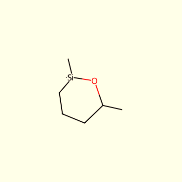 CC1CCC[Si](C)O1